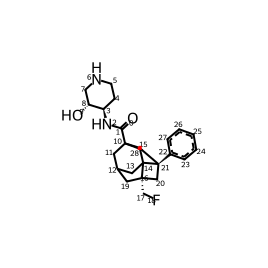 O=C(N[C@@H]1CCNC[C@H]1O)C12CC3CC4(C1)[C@](CF)(C3)C[C@@]4(c1ccccc1)C2